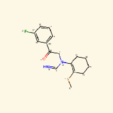 CSC1=C(N(C=N)CC(=O)c2cccc(F)c2)CCCC1